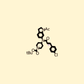 CC(=O)N1CCc2ccc(N(C(=O)/C=C/c3ccc(Cl)cc3)C3CCN(C(=O)OC(C)(C)C)CC3)cc21